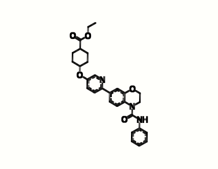 CCOC(=O)C1CCC(Oc2ccc(-c3ccc4c(c3)OCCN4C(=O)Nc3ccccc3)nc2)CC1